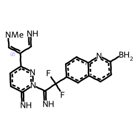 Bc1ccc2cc(C(F)(F)C(=N)n3nc(/C(C=N)=C/NC)ccc3=N)ccc2n1